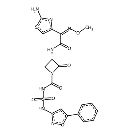 CO/N=C(\C(=O)N[C@H]1CN(C(=O)NS(=O)(=O)Nc2cc(-c3ccccc3)on2)C1=O)c1csc(N)n1